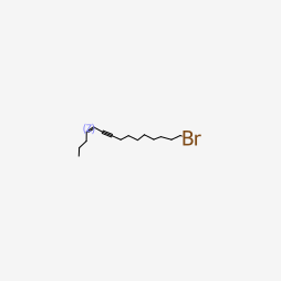 CCC/C=C\C#CCCCCCCCCBr